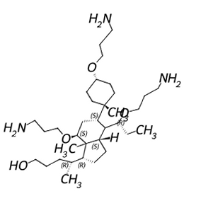 CC[C@@H](OCCCN)C1[C@@H]2CC[C@H]([C@H](C)CCCO)C2(C)[C@@H](OCCCN)C[C@@H]1[C@]1(C)CC[C@H](OCCCN)CC1